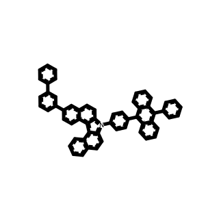 c1ccc(-c2cccc(-c3ccc4c(ccc5c4c4c6ccccc6ccc4n5-c4ccc(-c5c6ccccc6c(-c6ccccc6)c6ccccc56)cc4)c3)c2)cc1